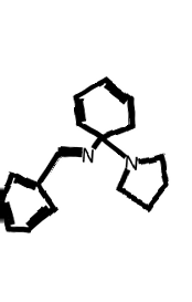 C1=CCC(N=Cc2ccccc2)(N2CCCC2)C=C1